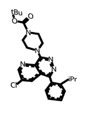 CC(C)c1ccccc1-c1nnc(N2CCN(C(=O)OC(C)(C)C)CC2)c2ncc(Cl)cc12